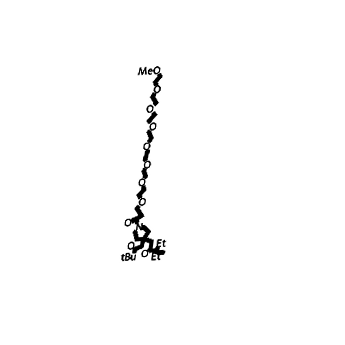 CCC(C)(CC)C(=O)CC1(CC(=O)C(C)(C)C)CCN(C(=O)CCOCCOCCOCCOCCOCCOCCOCCOC)CC1